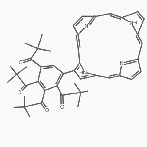 CC(C)(C)C(=O)c1cc(-c2cc3cc4nc(cc5ccc(cc6nc(cc2[nH]3)C=C6)[nH]5)C=C4)c(C(=O)C(C)(C)C)c(C(=O)C(C)(C)C)c1C(=O)C(C)(C)C